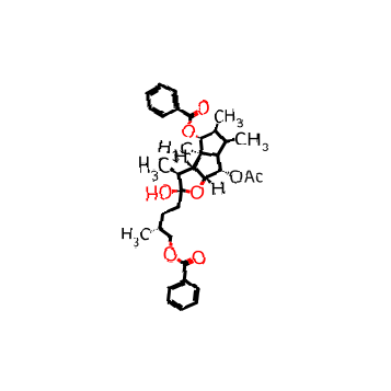 CC(=O)O[C@H]1C2C(C)C(C)[C@@H](OC(=O)c3ccccc3)[C@]2(C)[C@@H]2[C@H]1O[C@](O)(CC[C@@H](C)COC(=O)c1ccccc1)[C@H]2C